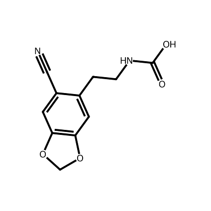 N#Cc1cc2c(cc1CCNC(=O)O)OCO2